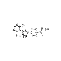 Cc1ncnc(C)c1-c1cc(C2CCN(C(=O)OC(C)(C)C)CC2)n[nH]1